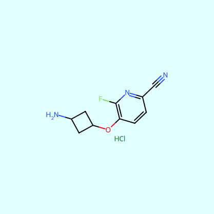 Cl.N#Cc1ccc(OC2CC(N)C2)c(F)n1